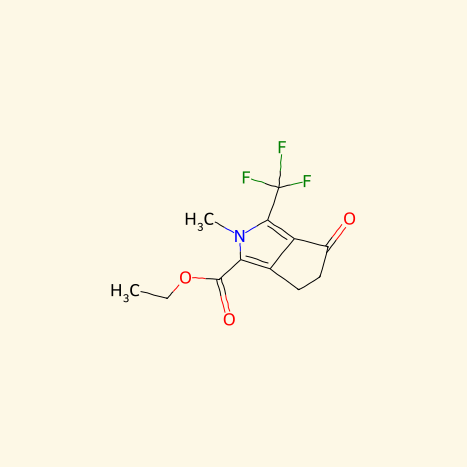 CCOC(=O)c1c2c(c(C(F)(F)F)n1C)C(=O)CC2